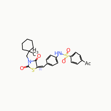 CC(=O)c1ccc(S(=O)(=O)Nc2ccc(/C=C3/SC(=O)N(CC4(C)CCCCC4)C3=O)cc2)cc1